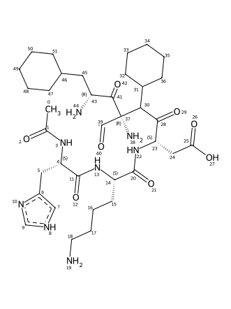 CC(=O)N[C@@H](Cc1c[nH]cn1)C(=O)N[C@@H](CCCCN)C(=O)N[C@@H](CC(=O)O)C(=O)C(C1CCCCC1)[C@@](N)([C]=O)C(=O)[C@H](N)CC1CCCCC1